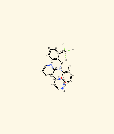 [CH]c1ccc(C)c(N(Cc2ccccc2C(F)(F)F)c2ncccc2-c2ccncn2)c1